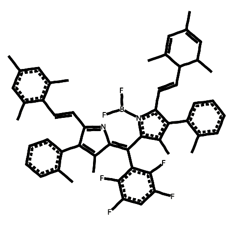 CC1=CC(C)C(/C=C/c2c(-c3ccccc3C)c(C)c(/C(=C3N=C(/C=C/c4c(C)cc(C)cc4C)C(c4ccccc4C)=C\3C)c3c(F)c(F)cc(F)c3F)n2B(F)F)C(C)=C1